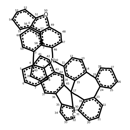 c1ccc(-c2ccccc2N(c2ccc3c(c2)C2(c4ccccc4-c4ccccc4-3)c3ccccc3-c3cc4ccccc4cc32)c2ccc3oc4ccccc4c3c2)cc1